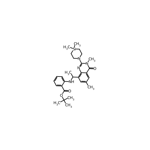 Cc1cc(C(C)Nc2ccccc2C(=O)OC(C)(C)C)c2nc(N3CC[Si](C)(C)CC3)n(C)c(=O)c2c1